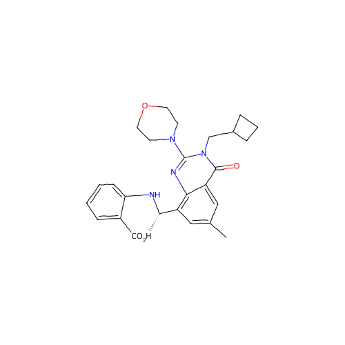 Cc1cc([C@H](C)Nc2ccccc2C(=O)O)c2nc(N3CCOCC3)n(CC3CCC3)c(=O)c2c1